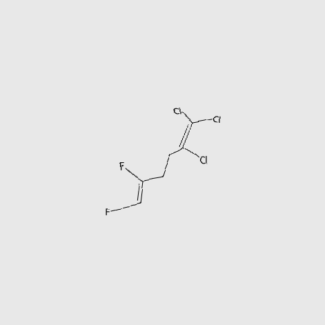 FC=C(F)CCC(Cl)=C(Cl)Cl